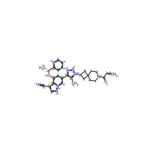 C=CC(=O)N1CCC2(CC1)CC(n1nnc(-c3cc(O[C@H](C)c4ccccn4)c4c(C#N)cnn4c3)c1C)C2